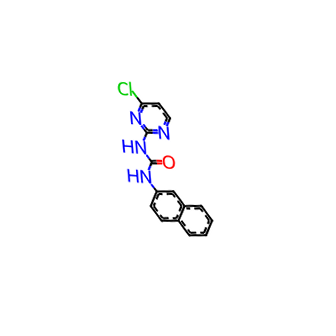 O=C(Nc1ccc2ccccc2c1)Nc1nccc(Cl)n1